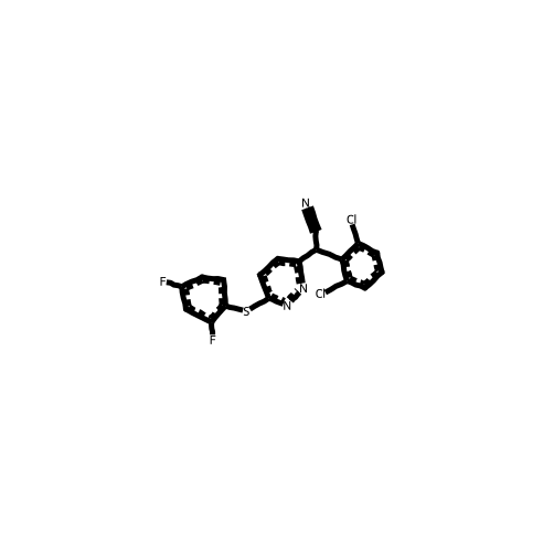 N#CC(c1ccc(Sc2ccc(F)cc2F)nn1)c1c(Cl)cccc1Cl